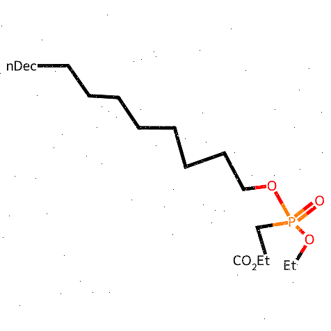 CCCCCCCCCCCCCCCCCCOP(=O)(CC(=O)OCC)OCC